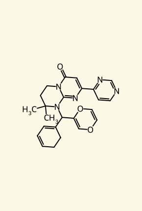 CC1(C)CCn2c(nc(-c3ccncn3)cc2=O)N1C(C1=CC=CCC1)C1=COC=CO1